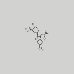 CN(C)C(=O)Cn1c(N2CC[C@@H](F)[C@H](N)C2)nc2cc(C(F)(F)F)ccc21